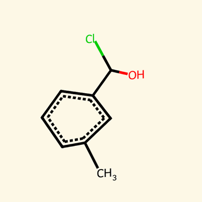 Cc1cccc(C(O)Cl)c1